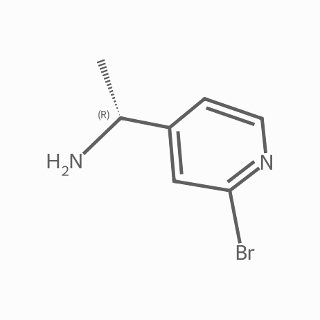 C[C@@H](N)c1ccnc(Br)c1